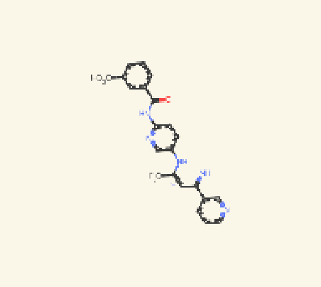 N=C(/C=C(\Nc1ccc(NC(=O)c2cccc(C(=O)O)c2)nc1)C(F)(F)F)c1cccnc1